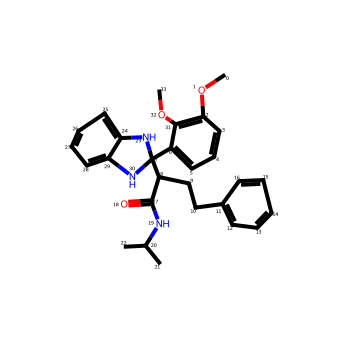 COc1cccc(C2(C(CCc3ccccc3)C(=O)NC(C)C)Nc3ccccc3N2)c1OC